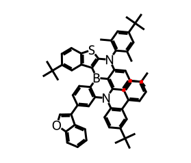 Cc1cc(C(C)(C)C)cc(C)c1N1c2cc(C(C)C)cc3c2B(c2ccc(-c4coc5ccccc45)cc2N3c2ccc(C(C)(C)C)cc2-c2ccccc2)c2c1sc1ccc(C(C)(C)C)cc21